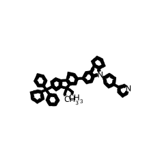 CCC1(CC)c2cc(-c3ccc4c(c3)c3ccccc3n4-c3ccc(-c4cccnc4)cc3)ccc2-c2ccc(C(c3ccccc3)(c3ccccc3)c3ccccc3)cc21